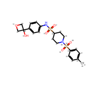 O=S(=O)(Nc1ccc(C2(O)COC2)cc1)C1CCN(S(=O)(=O)c2ccc(C(F)(F)F)cc2)CC1